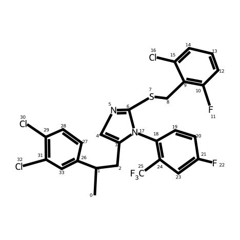 CC(Cc1cnc(SCc2c(F)cccc2Cl)n1-c1ccc(F)cc1C(F)(F)F)c1ccc(Cl)c(Cl)c1